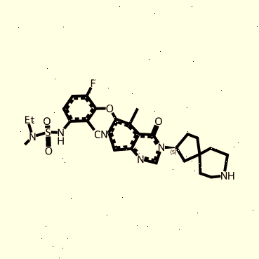 CCN(C)S(=O)(=O)Nc1ccc(F)c(Oc2ccc3ncn([C@H]4CCC5(CCNCC5)C4)c(=O)c3c2C)c1C#N